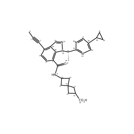 CC#Cc1ccc(C(=O)NC2CC3(C2)CC(C(=O)O)C3)c2c1cnn2[C@@H](C)c1ncc(C2CC2)cn1